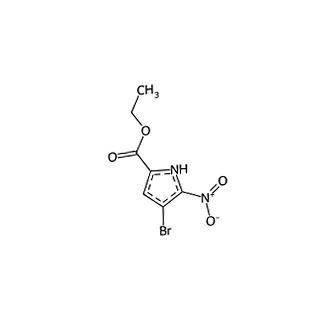 CCOC(=O)c1cc(Br)c([N+](=O)[O-])[nH]1